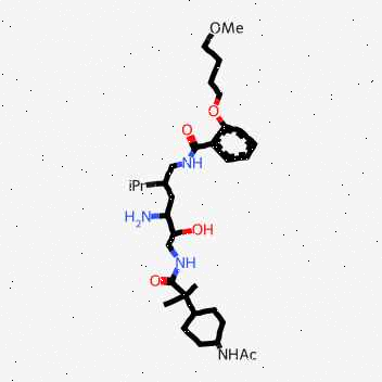 COCCCCOc1ccccc1C(=O)NCC(CC(N)C(O)CNC(=O)C(C)(C)C1CCC(NC(C)=O)CC1)C(C)C